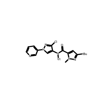 CCN(C(=O)c1cc(C(C)(C)C)nn1C)c1cn(-c2cccnc2)nc1Cl